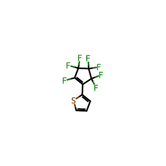 FC1=C(c2cccs2)C(F)(F)C(F)(F)C1(F)F